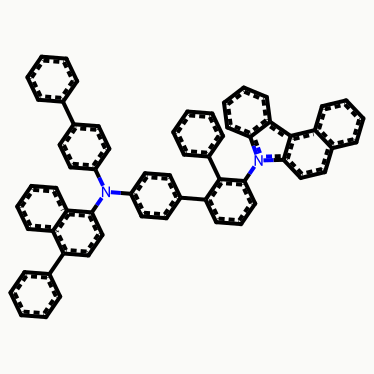 c1ccc(-c2ccc(N(c3ccc(-c4cccc(-n5c6ccccc6c6c7ccccc7ccc65)c4-c4ccccc4)cc3)c3ccc(-c4ccccc4)c4ccccc34)cc2)cc1